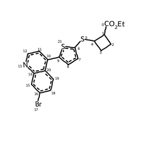 CCOC(=O)C1CCC1Sc1ccc(-c2ccnc3cc(Br)ccc23)s1